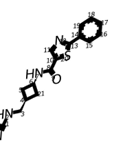 N#CNC[C@H]1C[C@H](NC(=O)c2cnc(-c3ccccc3)s2)C1